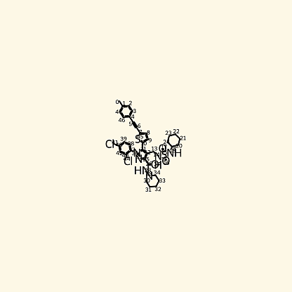 Cc1ccc(C#Cc2ccc(-c3c(CNS(=O)(=O)NC4CCCCC4)c(C(=O)NN4CCCCC4)nn3-c3ccc(Cl)cc3Cl)s2)cc1